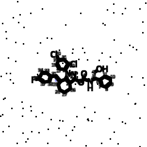 O=C(N[C@H](CO)c1ccccc1)Oc1nn(-c2ccc(Cl)cc2Cl)c2c1CCCC/C2=C\c1ccc(F)cc1